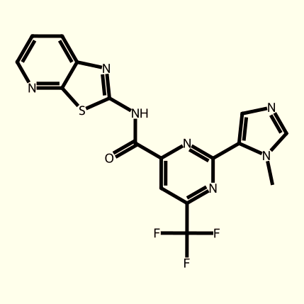 Cn1cncc1-c1nc(C(=O)Nc2nc3cccnc3s2)cc(C(F)(F)F)n1